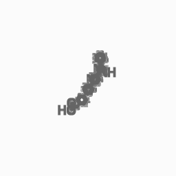 O=C(O)C[C@H]1CC[C@H](c2ccc(-c3ccc(-c4nc(-c5ccccc5)c[nH]4)cn3)cc2)CC1